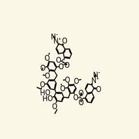 CCOc1cc(Cc2c(OS(=O)(=O)c3cccc4c3C=CC(=[N+]=[N-])C4=O)cc(OC)c(OC)c2OC)cc(-c2cc(Cc3c(OS(=O)(=O)c4cccc5c4C=CC(=[N+]=[N-])C5=O)cc(OC)c(OC)c3OC)cc(OCC)c2O)c1O